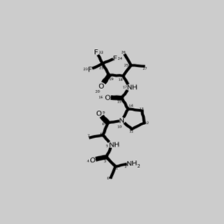 CC(N)C(=O)NC(C)C(=O)N1CCCC1C(=O)NC(C(=O)C(F)(F)F)C(C)C